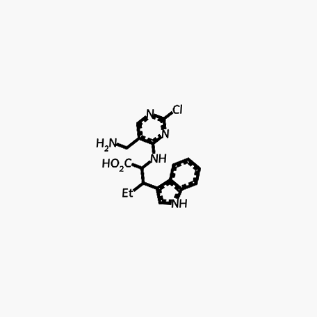 CCC(c1c[nH]c2ccccc12)C(Nc1nc(Cl)ncc1CN)C(=O)O